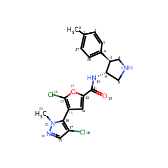 Cc1ccc([C@H]2CNC[C@@H]2NC(=O)c2cc(-c3c(Cl)cnn3C)c(Cl)o2)cc1